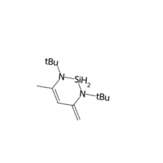 C=C1C=C(C)N(C(C)(C)C)[SiH2]N1C(C)(C)C